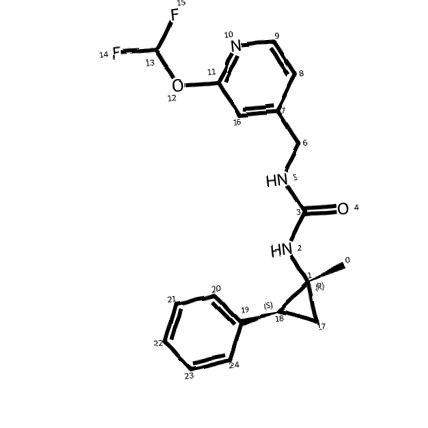 C[C@@]1(NC(=O)NCc2ccnc(OC(F)F)c2)C[C@H]1c1ccccc1